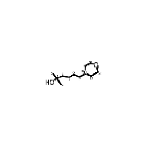 CC(C)(O)CCCCN1CCOCC1